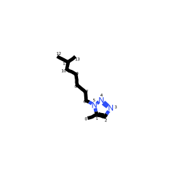 Cc1cnnn1CCCCCC(C)C